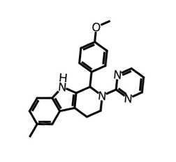 COc1ccc(C2c3[nH]c4ccc(C)cc4c3CCN2c2ncccn2)cc1